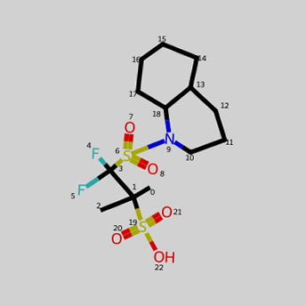 CC(C)(C(F)(F)S(=O)(=O)N1CCCC2CCCCC21)S(=O)(=O)O